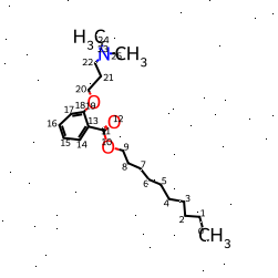 CCCCCCCCCCOC(=O)c1ccccc1OCCCN(C)C